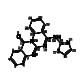 O=c1c2ccccc2nc2nc(Nc3nccs3)c3ccccc3n12